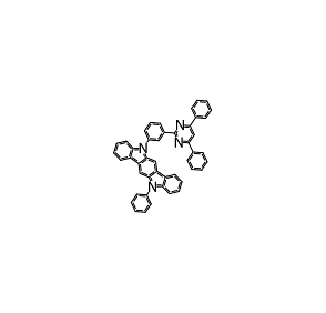 c1ccc(-c2cc(-c3ccccc3)nc(-c3cccc(-n4c5ccccc5c5cc6c(cc54)c4ccccc4n6-c4ccccc4)c3)n2)cc1